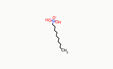 CCCCCCCCCC[N+]([O-])(O)O